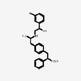 CCOC(=O)C(Cc1ccc(CC(C)NCC(O)c2cccc(Cl)c2)cc1)c1ccccc1